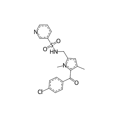 Cc1cc(CNS(=O)(=O)c2cccnc2)n(C)c1C(=O)c1ccc(Cl)cc1